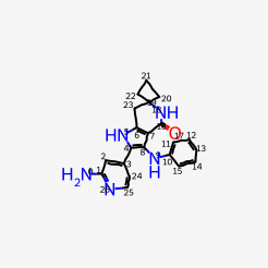 Nc1cc(-c2[nH]c3c(c2Nc2ccccc2)C(=O)NC2(CCC2)C3)ccn1